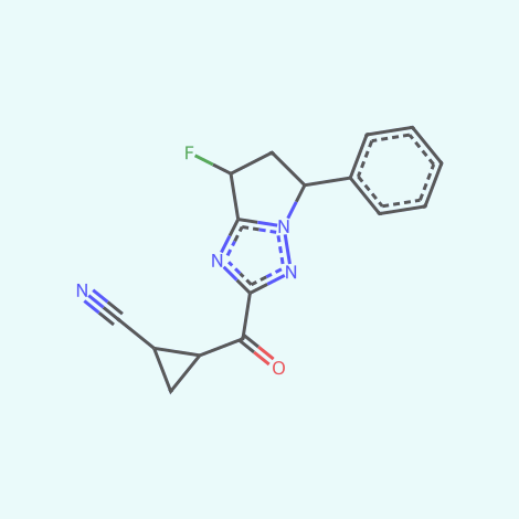 N#CC1CC1C(=O)c1nc2n(n1)C(c1ccccc1)CC2F